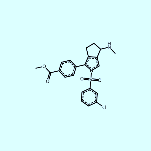 CNC1CCc2c1cn(S(=O)(=O)c1cccc(Cl)c1)c2-c1ccc(C(=O)OC)cc1